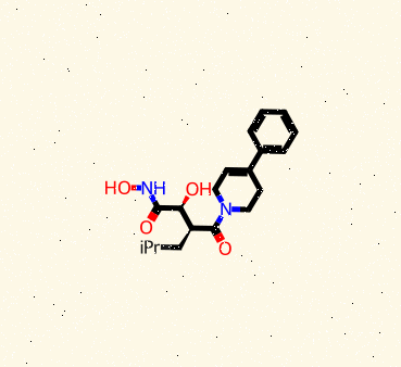 CC(C)C[C@H](C(=O)N1CC=C(c2ccccc2)CC1)[C@H](O)C(=O)NO